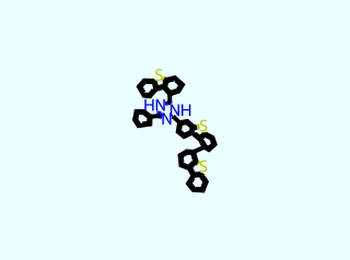 c1ccc(C2=NC(c3ccc4c(c3)sc3cccc(-c5cccc6c5sc5ccccc56)c34)NC(c3cccc4sc5ccccc5c34)N2)cc1